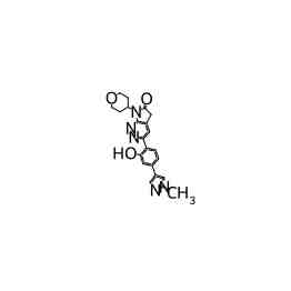 Cn1cc(-c2ccc(-c3cc4c(nn3)N(C3CCOCC3)C(=O)C4)c(O)c2)cn1